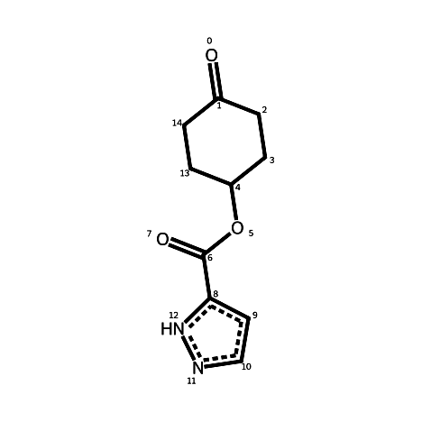 O=C1CCC(OC(=O)c2ccn[nH]2)CC1